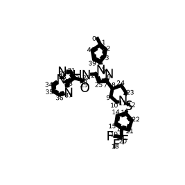 Cc1ccc(-n2nc(C3CCN(Sc4ccc(C(F)(F)F)cc4)CC3)cc2NC(=O)c2cnn3cccnc23)cc1